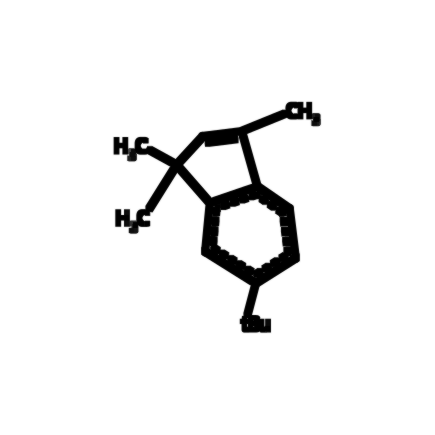 CC1=CC(C)(C)c2cc(C(C)(C)C)ccc21